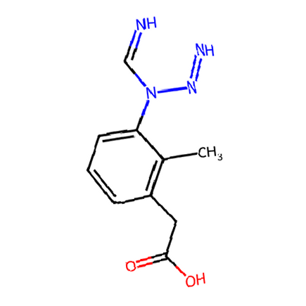 Cc1c(CC(=O)O)cccc1N(C=N)N=N